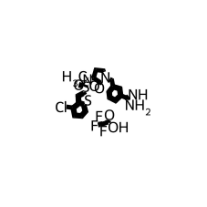 CN(C1CCN(Cc2cccc(C(=N)N)c2)C1=O)S(=O)(=O)c1cc2c(Cl)cccc2s1.O=C(O)C(F)(F)F